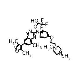 Cc1noc(C)c1-c1cc(C)c2nc(Nc3ccc(OCC[N+]4(C)CCN(C)CC4)cc3)nnc2c1.O=C(O)C(F)(F)F